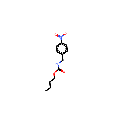 CCCCOC(=O)NCc1ccc([N+](=O)[O-])cc1